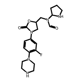 O=CN(CC1CN(c2ccc(N3CCNCC3)c(F)c2)C(=O)O1)C1CCCN1